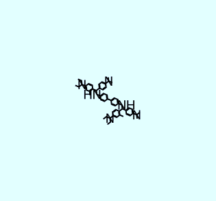 CCN(CC)c1ccc(C(Nc2ccc(-c3ccc(NC(c4ccc(N(C)C)cc4)c4ccc(N(CC)CC)cc4C)cc3)cc2)c2ccc(N(C)C)cc2)c(C)c1